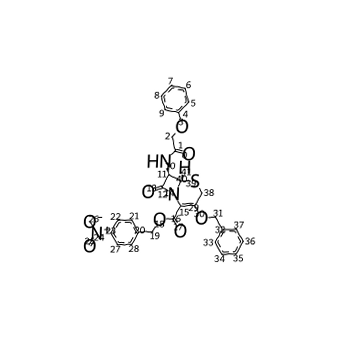 O=C(COc1ccccc1)N[C@@H]1C(=O)N2C(C(=O)OCc3ccc([N+](=O)[O-])cc3)=C(OCc3ccccc3)CS[C@@H]12